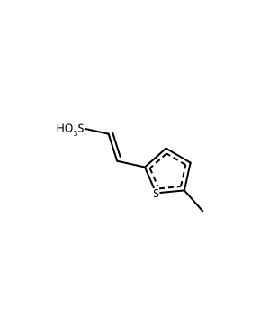 Cc1ccc(/C=C/S(=O)(=O)O)s1